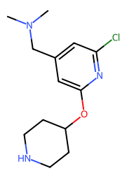 CN(C)Cc1cc(Cl)nc(OC2CCNCC2)c1